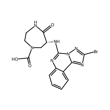 O=C1NCCN(C(=O)O)C[C@H]1Nc1nc2ccccc2c2nc(Br)nn12